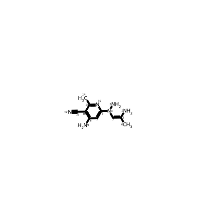 C/C(N)=C/N(N)c1cc(N)c(C#N)c(C)n1